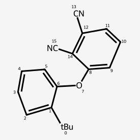 CC(C)(C)c1ccccc1Oc1cccc(C#N)c1C#N